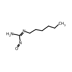 CCCCCCN=C(N)N=O